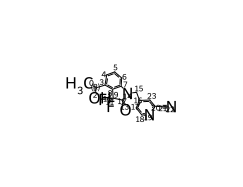 C[C@@H](O)c1cccc2c1C(F)(F)C(=O)N2Cc1ccnc(C#N)c1